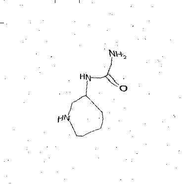 NC(=O)NC1CCCNC1